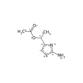 CC(=O)OC(C)c1csc(N)n1